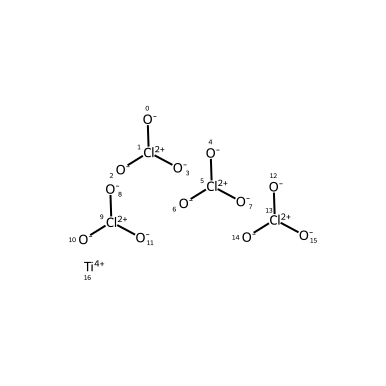 [O-][Cl+2]([O-])[O-].[O-][Cl+2]([O-])[O-].[O-][Cl+2]([O-])[O-].[O-][Cl+2]([O-])[O-].[Ti+4]